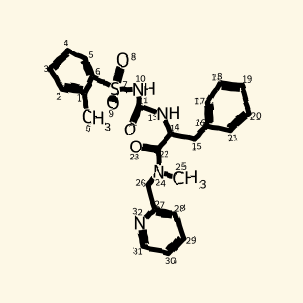 Cc1ccccc1S(=O)(=O)NC(=O)NC(Cc1ccccc1)C(=O)N(C)Cc1ccccn1